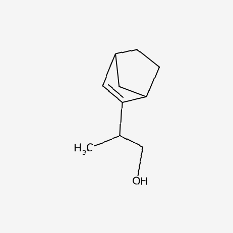 CC(CO)C1=CC2CCC1C2